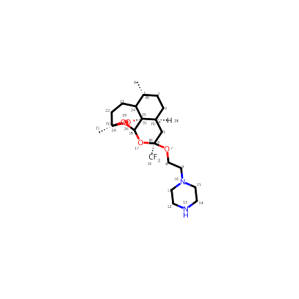 C[C@@H]1CC[C@H]2C[C@](OCCN3CCNCC3)(C(F)(F)F)OC3O[C@]4(C)CCC1[C@]32OO4